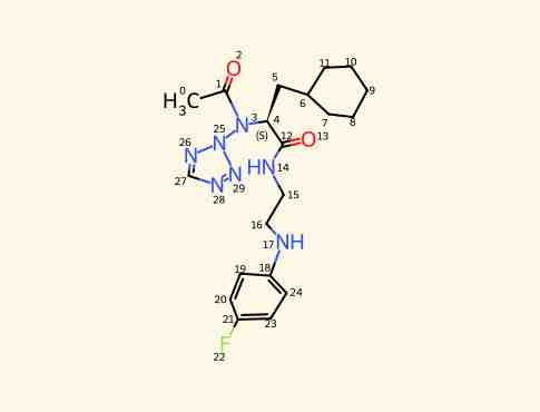 CC(=O)N([C@@H](CC1CCCCC1)C(=O)NCCNc1ccc(F)cc1)n1ncnn1